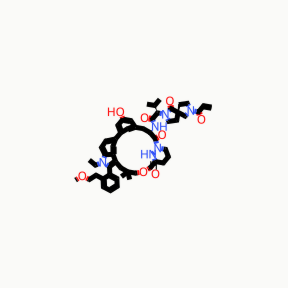 C=CC(=O)N1CC[C@]2(CCN([C@H](C(=O)N[C@H]3Cc4cc(O)cc(c4)-c4ccc5c(c4)c(c(-c4ccccc4CCOC)n5CC)CC(C)(C)COC(=O)[C@@H]4CCCN(N4)C3=O)C(C)C)C2=O)C1